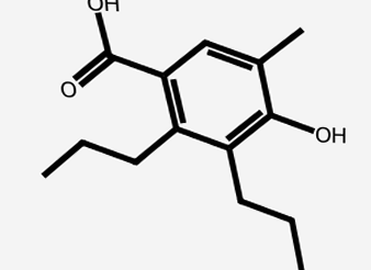 CCCc1c(C(=O)O)cc(C)c(O)c1CCC